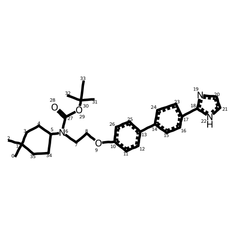 CC1(C)CCC(N(CCOc2ccc(-c3ccc(-c4ncc[nH]4)cc3)cc2)C(=O)OC(C)(C)C)CC1